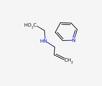 C=CCNCC(=O)O.c1ccncc1